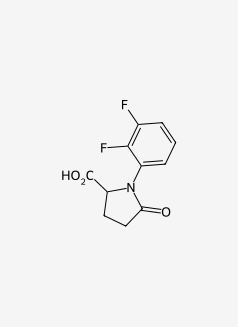 O=C(O)C1CCC(=O)N1c1cccc(F)c1F